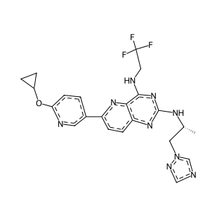 C[C@H](Cn1cncn1)Nc1nc(NCC(F)(F)F)c2nc(-c3ccc(OC4CC4)nc3)ccc2n1